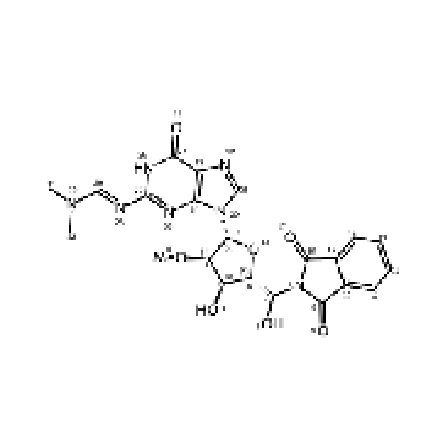 CO[C@@H]1[C@H](O)[C@@H](C(O)N2C(=O)c3ccccc3C2=O)O[C@H]1n1cnc2c(=O)[nH]c(N=CN(C)C)nc21